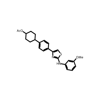 COc1cccc(Nc2nc(-c3ccc(C4CCC(OC(C)=O)CC4)cc3)cs2)c1